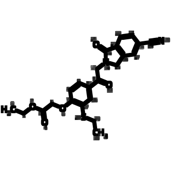 CCOC(=O)COc1ccc(C(=O)CN2Cc3cc(C#N)ccc3C2=O)cc1SCC